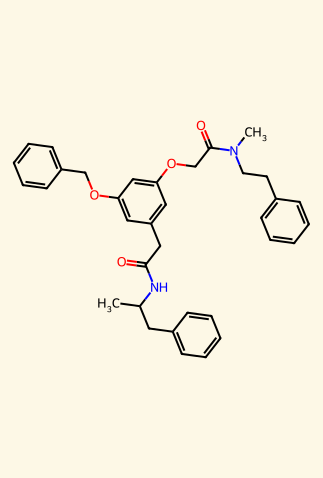 CC(Cc1ccccc1)NC(=O)Cc1cc(OCC(=O)N(C)CCc2ccccc2)cc(OCc2ccccc2)c1